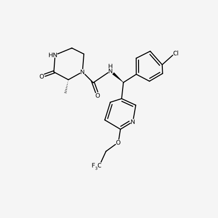 C[C@@H]1C(=O)NCCN1C(=O)N[C@@H](c1ccc(Cl)cc1)c1ccc(OCC(F)(F)F)nc1